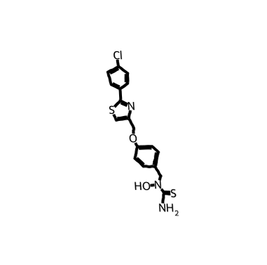 NC(=S)N(O)Cc1ccc(OCc2csc(-c3ccc(Cl)cc3)n2)cc1